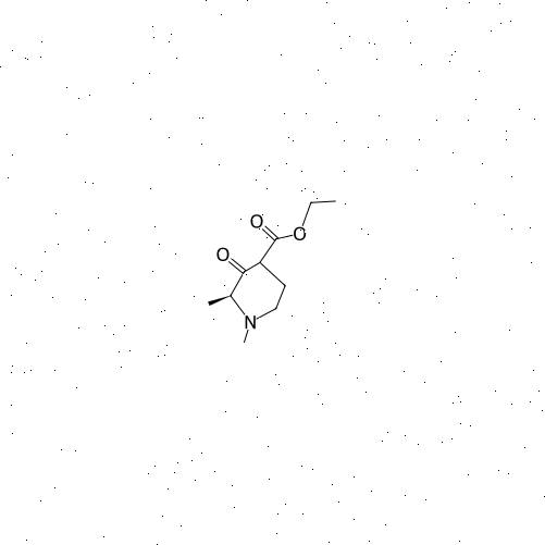 CCOC(=O)C1CCN(C)[C@@H](C)C1=O